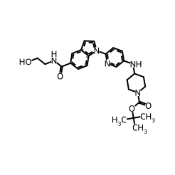 CC(C)(C)OC(=O)N1CCC(Nc2ccc(-n3ccc4cc(C(=O)NCCO)ccc43)nc2)CC1